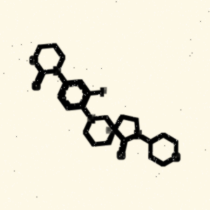 O=C1OCCCN1c1ccc(N2CCC[C@]3(CCN(C4CCOCC4)C3=O)C2)c(F)c1